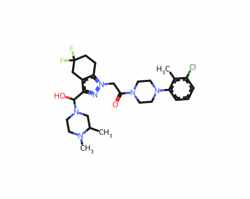 Cc1c(Cl)cccc1N1CCN(C(=O)Cn2nc(C(O)N3CCN(C)C(C)C3)c3c2CCC(F)(F)C3)CC1